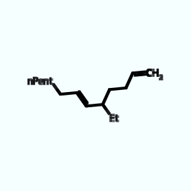 C=CCCC(/C=C/CCCCCC)CC